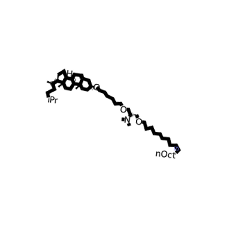 CCCCCCCC/C=C\CCCCCCCCOC[C@@H](COCCCCCCO[C@H]1CC[C@@]2(C)C(=CC[C@@H]3C2CC[C@@]2(C)C3CC[C@@H]2[C@H](C)CCC(C)C)C1)N(C)C